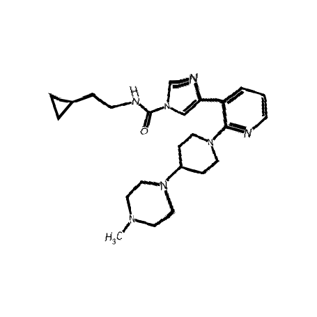 CN1CCN(C2CCN(c3ncccc3-c3cn(C(=O)NCCC4CC4)cn3)CC2)CC1